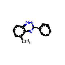 Cc1cccc2nnc(-c3ccccc3)nc12